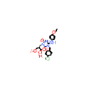 CCOc1ccc(NC2=NC(=O)N(CC(CO)CO)C(O)N2Cc2ccc(Cl)cc2)cc1